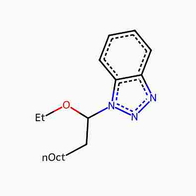 CCCCCCCCCC(OCC)n1nnc2ccccc21